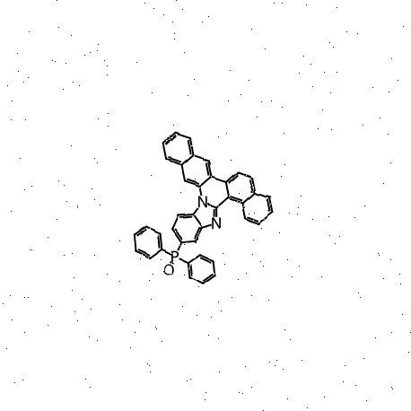 O=P(c1ccccc1)(c1ccccc1)c1ccc2c(c1)nc1c3c4ccccc4ccc3c3cc4ccccc4cc3n21